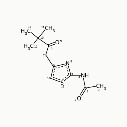 CC(=O)Nc1nc(CC(=O)C(C)(C)C)cs1